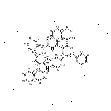 c1ccc(-c2ccc(-c3nc(-n4c5ccccc5c5cc6c7c8ccccc8ccc7n7c8ccccc8c(c54)c67)nc4ccc5ccccc5c34)cc2)cc1